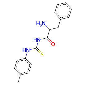 Cc1ccc(NC(=S)NC(=O)C(N)Cc2ccccc2)cc1